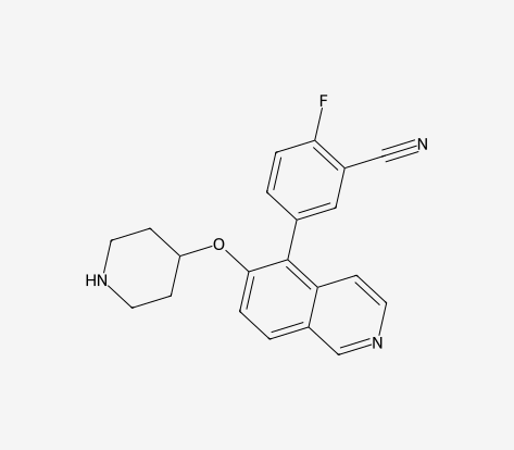 N#Cc1cc(-c2c(OC3CCNCC3)ccc3cnccc23)ccc1F